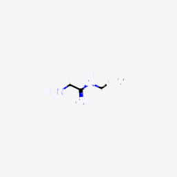 COCNC(=N)CN